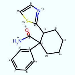 NC(=O)C1(c2ccccc2)CCCCC1c1nccs1